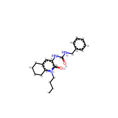 CCCCn1c2c(cc(NC(=O)NCc3ccccc3)c1=O)CCCC2